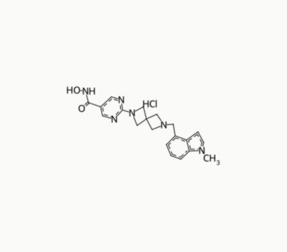 Cl.Cn1ccc2c(CN3CC4(C3)CN(c3ncc(C(=O)NO)cn3)C4)cccc21